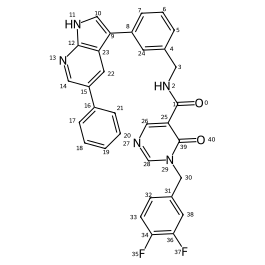 O=C(NCc1cccc(-c2c[nH]c3ncc(-c4ccccc4)cc23)c1)c1cncn(Cc2ccc(F)c(F)c2)c1=O